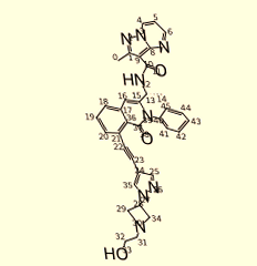 Cc1nn2cccnc2c1C(=O)N[C@H](C)c1cc2cccc(C#Cc3cnn(C4CN(CCO)C4)c3)c2c(=O)n1-c1ccccc1